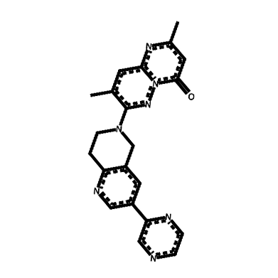 Cc1cc(=O)n2nc(N3CCc4ncc(-c5cnccn5)cc4C3)c(C)cc2n1